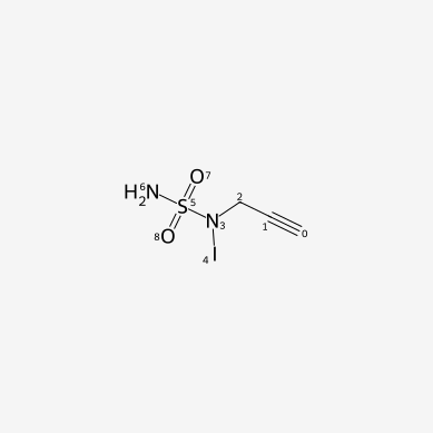 C#CCN(I)S(N)(=O)=O